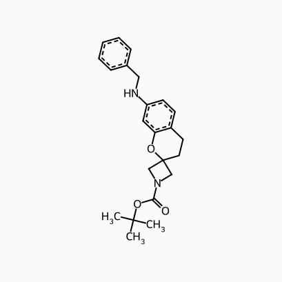 CC(C)(C)OC(=O)N1CC2(CCc3ccc(NCc4ccccc4)cc3O2)C1